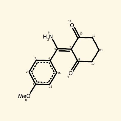 COc1ccc(C(N)=C2C(=O)CCCC2=O)cc1